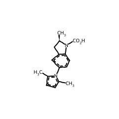 Cc1ccc(C)n1-c1ccc2c(c1)C[C@@H](C)N2C(=O)O